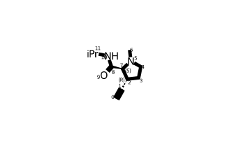 C#C[C@H]1CCN(C)[C@@H]1C(=O)NC(C)C